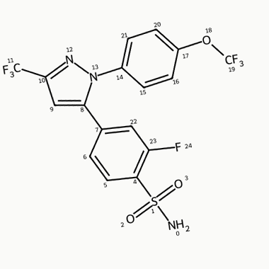 NS(=O)(=O)c1ccc(-c2cc(C(F)(F)F)nn2-c2ccc(OC(F)(F)F)cc2)cc1F